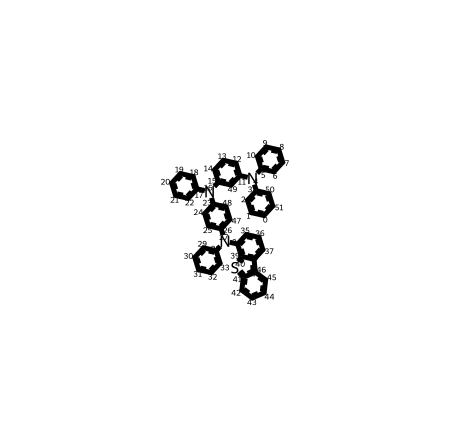 c1ccc(N(c2ccccc2)c2cccc(N(c3ccccc3)c3ccc(N(c4ccccc4)c4cccc5c4sc4ccccc45)cc3)c2)cc1